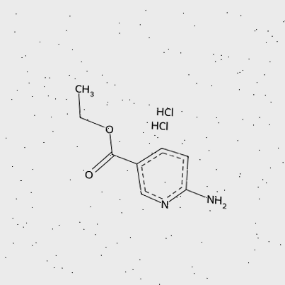 CCOC(=O)c1ccc(N)nc1.Cl.Cl